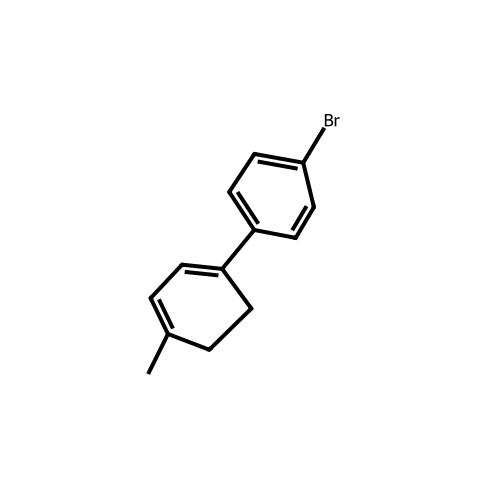 CC1=CC=C(c2ccc(Br)cc2)CC1